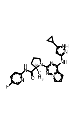 C[C@@]1(C(=O)Nc2ccc(F)cn2)CCCN1c1nc(Nc2cc(C3CC3)[nH]n2)c2cccn2n1